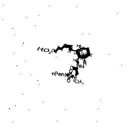 CCCCCS(=O)(=O)N(C)CC(=O)NC[C@H]1[C@@H](C/C=C\CCCC(=O)O)[C@H]2CC[C@@H]1O2